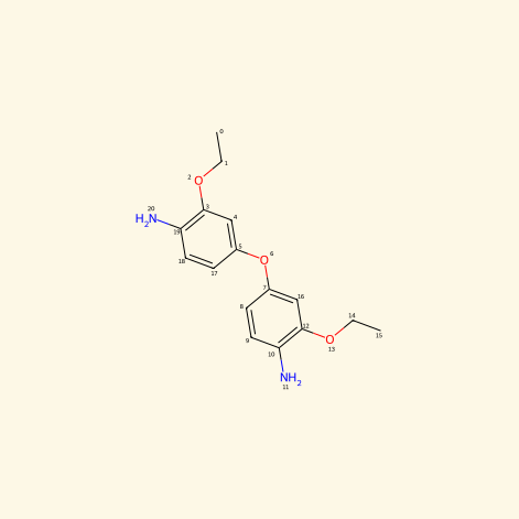 CCOc1cc(Oc2ccc(N)c(OCC)c2)ccc1N